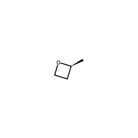 C[C@H]1CCO1